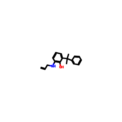 C=CCNc1cccc(C(C)(C)c2ccccc2)c1O